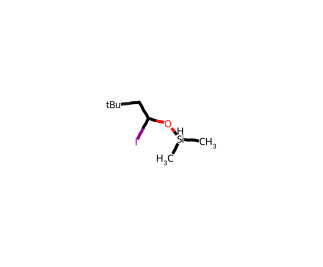 C[SiH](C)OC(I)CC(C)(C)C